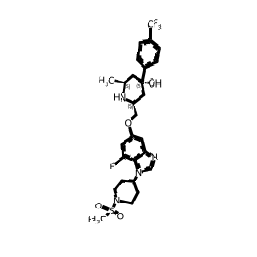 C[C@H]1C[C@@](O)(c2ccc(C(F)(F)F)cc2)C[C@@H](COc2cc(F)c3c(c2)ncn3C2CCN(S(C)(=O)=O)CC2)N1